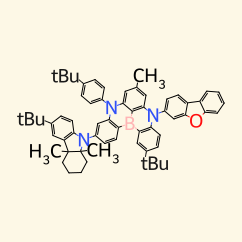 Cc1cc2c3c(c1)N(c1ccc(C(C)(C)C)cc1)c1cc(N4c5ccc(C(C)(C)C)cc5C5(C)CCCCC45C)ccc1B3c1cc(C(C)(C)C)ccc1N2c1ccc2c(c1)oc1ccccc12